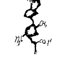 Cc1cc(-c2ccc3[nH]ccc3c2)c(C)cc1/C=C(/F)C(=O)O